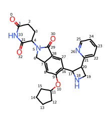 O=C1CCC(N2Cc3cc(OC4CCCC4)c(C4NCC4c4ccccn4)cc3C2=O)C(=O)N1